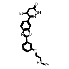 CCC1CC(=O)NN=C1c1ccc2nc(-c3cccc(OCCNC(C)C)c3)oc2c1